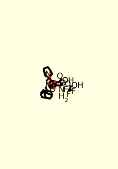 NC(=O)c1cccc(C2CC3CCC(C2)N3CCN(CC23CC4CC(CC(C4)C2)C3)C(=O)CCC(=O)O)c1.O=C(O)C(F)(F)F